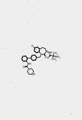 CC(C)(N)C(=O)N[C@@H]1CCc2cc(F)ccc2N(Cc2ccc(-c3ccccc3NC(=O)N3CCNCC3)cc2)C1=O